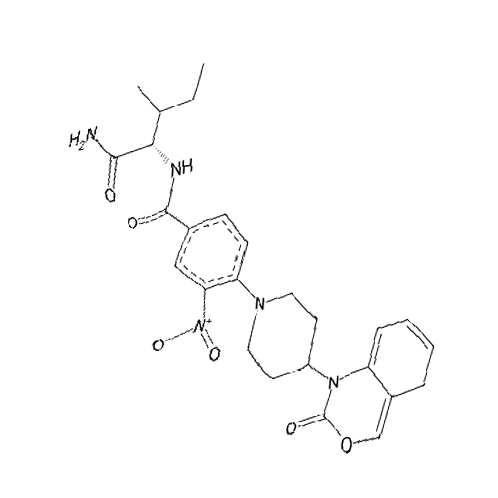 CCC(C)[C@H](NC(=O)c1ccc(N2CCC(N3C(=O)OC=C4CC=CC=C43)CC2)c([N+](=O)[O-])c1)C(N)=O